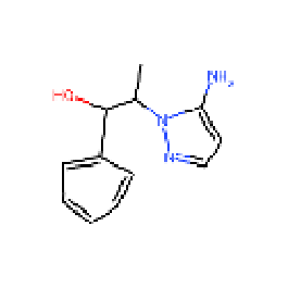 CC(C(O)c1ccccc1)n1nccc1N